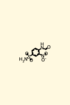 NS(=O)(=O)c1ccc(NC=O)c([N+](=O)[O-])c1